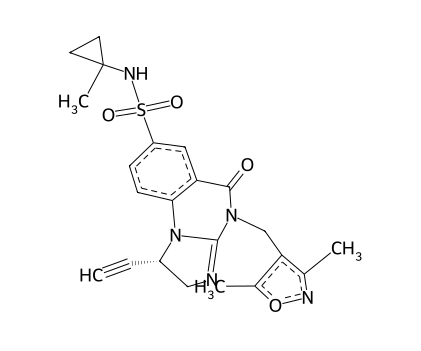 C#C[C@H]1CN=C2N(Cc3c(C)noc3C)C(=O)c3cc(S(=O)(=O)NC4(C)CC4)ccc3N21